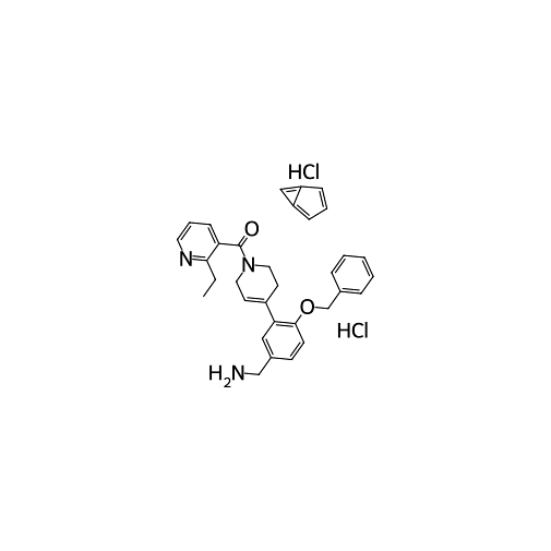 CCc1ncccc1C(=O)N1CC=C(c2cc(CN)ccc2OCc2ccccc2)CC1.Cl.Cl.c1cc2cc-2c1